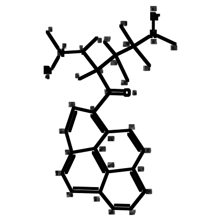 C[C](N(C)Br)C(C)(C(=O)c1ccc2ccc3cccc4ccc1c2c34)C(C)(C)C(C)(C)N(C)Br